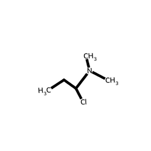 CCC(Cl)N(C)C